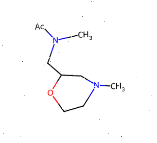 CC(=O)N(C)CC1CN(C)CCO1